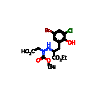 CCOC(=O)C(Cc1cc(Br)cc(Cl)c1O)NN(CC(=O)O)C(=O)OC(C)(C)C